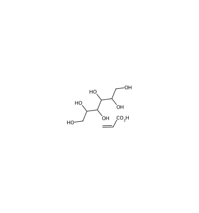 C=CC(=O)O.OCC(O)C(O)C(O)C(O)CO